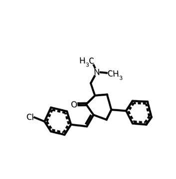 CN(C)CC1CC(c2ccccc2)CC(=Cc2ccc(Cl)cc2)C1=O